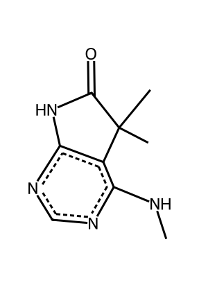 CNc1ncnc2c1C(C)(C)C(=O)N2